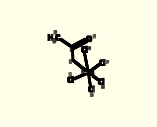 CC(=O)[CH2][Ta]([Cl])([Cl])([Cl])([Cl])[Cl]